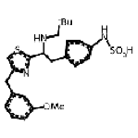 COc1cccc(Cc2csc(C(Cc3ccc(NS(=O)(=O)O)cc3)NCC(C)(C)C)n2)c1